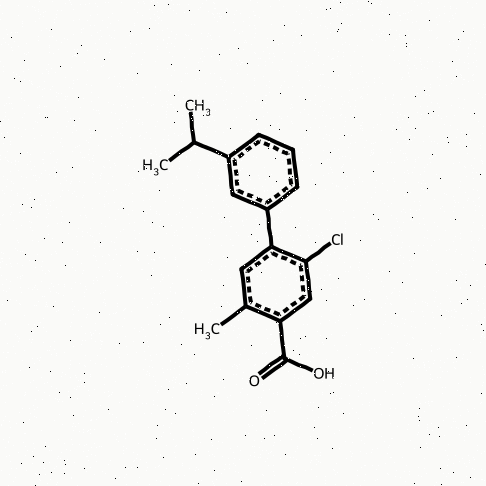 Cc1cc(-c2cccc(C(C)C)c2)c(Cl)cc1C(=O)O